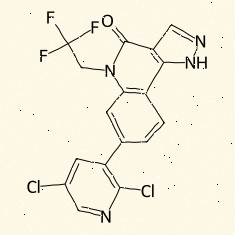 O=c1c2cn[nH]c2c2ccc(-c3cc(Cl)cnc3Cl)cc2n1CC(F)(F)F